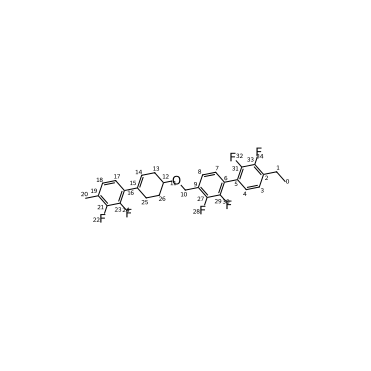 CCc1ccc(-c2ccc(COC3CC=C(c4ccc(C)c(F)c4F)CC3)c(F)c2F)c(F)c1F